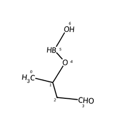 CC(CC=O)OBO